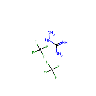 F[B-](F)(F)F.F[B-](F)(F)F.N=C(N)NN